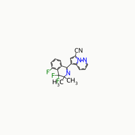 CC1(C)N=C(c2cc(C#N)n3ncccc23)c2cccc(F)c2C1(F)F